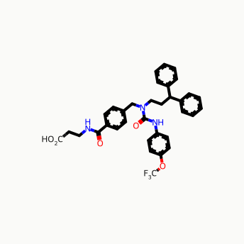 O=C(O)CCNC(=O)c1ccc(CN(CCC(c2ccccc2)c2ccccc2)C(=O)Nc2ccc(OC(F)(F)F)cc2)cc1